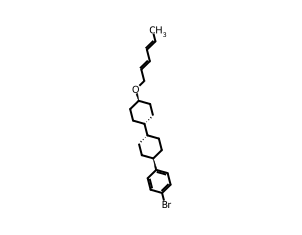 CC=CC=CCO[C@H]1CC[C@H]([C@H]2CC[C@H](c3ccc(Br)cc3)CC2)CC1